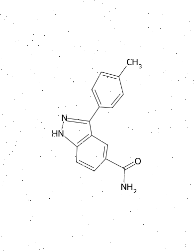 Cc1ccc(-c2n[nH]c3ccc(C(N)=O)cc23)cc1